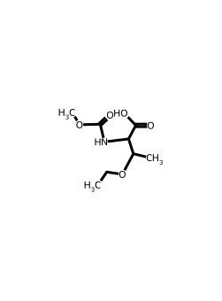 CCOC(C)C(NC(=O)OC)C(=O)O